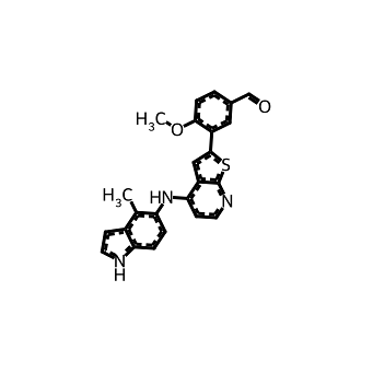 COc1ccc(C=O)cc1-c1cc2c(Nc3ccc4[nH]ccc4c3C)ccnc2s1